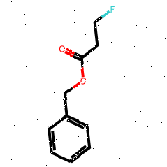 O=C(CCF)OCc1ccccc1